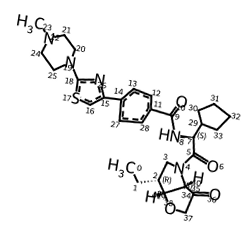 CC[C@@H]1CN(C(=O)[C@@H](NC(=O)c2ccc(-c3csc(N4CCN(C)CC4)n3)cc2)C2CCCC2)[C@@H]2C(=O)CO[C@H]12